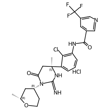 C[C@@H]1C[C@H](N2C(=N)N[C@](C)(c3cccc(NC(=O)c4cncc(C(F)(F)F)c4)c3Cl)CC2=O)CCO1.Cl